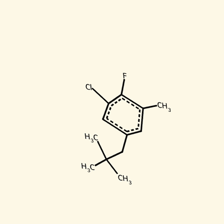 Cc1cc(CC(C)(C)C)cc(Cl)c1F